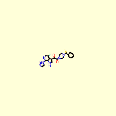 O=C(C(=O)N1CCN(C(=S)c2ccccc2)CC1)c1c[nH]c2c(-n3ccnn3)ncc(F)c12